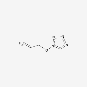 C=CCOn1cnnn1